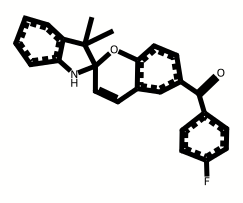 CC1(C)c2ccccc2NC12C=Cc1cc(C(=O)c3ccc(F)cc3)ccc1O2